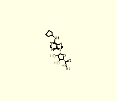 CCNC(=O)[C@H]1O[C@@H](n2cnc3c(NC4CCCC4)ncnc32)C(O)C1O